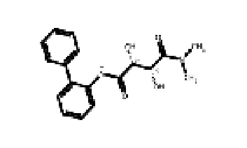 CN(C)C(=O)[C@H](O)[C@@H](O)C(=O)Nc1ccccc1-c1ccccc1